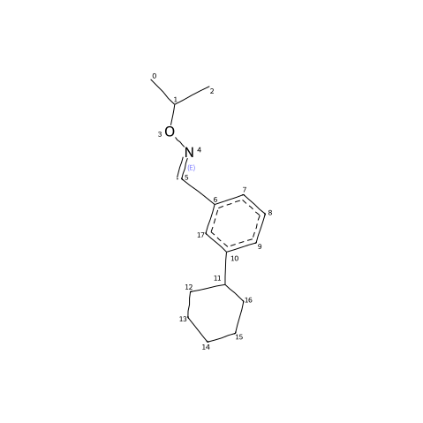 CC(C)O/N=[C]/c1cccc(C2CCCCC2)c1